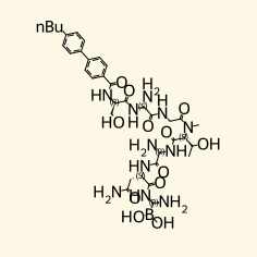 CCCCc1ccc(-c2ccc(C(=O)N[C@H](CO)C(=O)N[C@H](N)C(=O)NCC(=O)N(C)[C@H](C(=O)N[C@@H](N)C(=O)N[C@@H](CC(N)=O)C(=O)N[C@@H](N)B(O)O)C(C)O)cc2)cc1